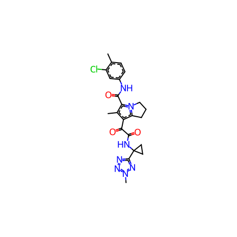 Cc1ccc(NC(=O)c2c(C)c(C(=O)C(=O)NC3(c4nnn(C)n4)CC3)c3n2CCC3)cc1Cl